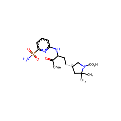 COC(=O)C(CC[C@@H]1CN(C(=O)O)C(C)(C)C1)Nc1cccc(S(N)(=O)=O)n1